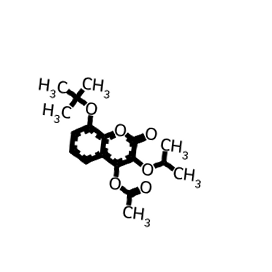 CC(=O)Oc1c(OC(C)C)c(=O)oc2c(OC(C)(C)C)cccc12